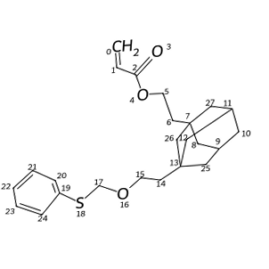 C=CC(=O)OCCC12CC3CC(CC(CCOCSc4ccccc4)(C3)C1)C2